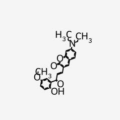 CCN(CC)c1ccc2cc(C=CC(=O)c3cc(OC)ccc3O)c(=O)oc2c1